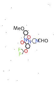 COc1[c]ccc(Cn2c(=O)c3cc(OC(CF)CF)ccc3n(C3CCN(C=O)CC3)c2=O)c1